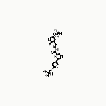 [2H]C([2H])([2H])COc1ccc(-c2cncc(C(=O)N/N=C/c3cc(OC([2H])([2H])[2H])cnc3F)n2)cn1